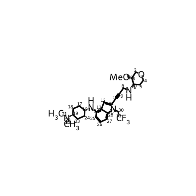 CO[C@@H]1COCC[C@H]1NCC#Cc1cc2c(N[C@H]3CC[C@H](N(C)C)CC3)cccc2n1CC(F)(F)F